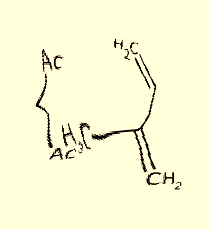 C=CC(=C)C.CC(=O)CC(C)=O